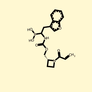 C=CC(=O)N1CC[C@@H]1COC(=O)NC(Cc1coc2ccccc12)B(O)O